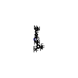 O=C(/C=C\n1cnc(-c2cc(C(F)(F)F)cc(C(F)(F)F)c2)n1)N1CC(F)(Cc2cncnc2)C1